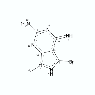 Cn1[nH]c(Br)c2c(=N)nc(N)nc1-2